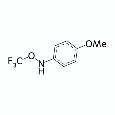 COc1ccc(NOC(F)(F)F)cc1